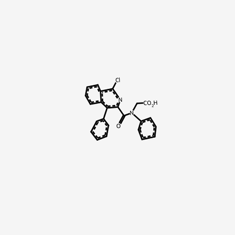 O=C(O)CN(C(=O)c1nc(Cl)c2ccccc2c1-c1ccccc1)c1ccccc1